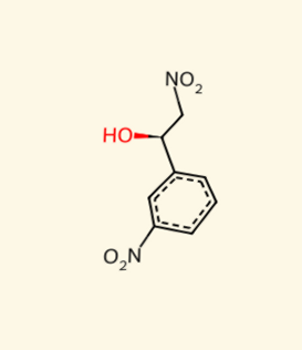 O=[N+]([O-])C[C@H](O)c1cccc([N+](=O)[O-])c1